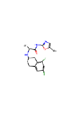 CCC[C@H](NC1CCc2cc(F)cc(F)c2C1)C(=O)Nc1ncc(C(C)CC)o1